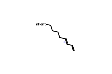 [CH]=C/C=C/CCCCCCCCC